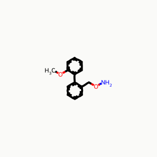 COc1ccccc1-c1ccccc1CON